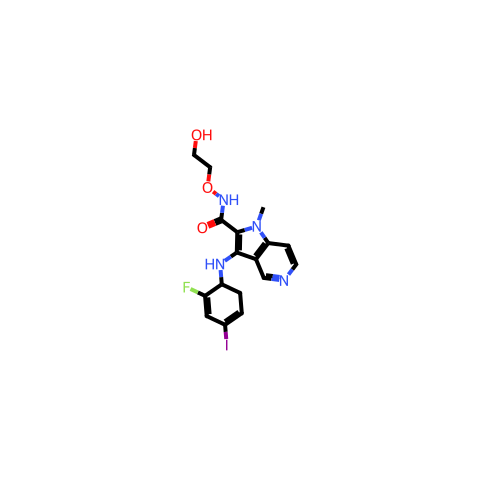 Cn1c(C(=O)NOCCO)c(NC2CC=C(I)C=C2F)c2cnccc21